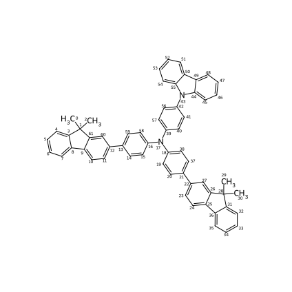 CC1(C)c2ccccc2-c2ccc(-c3ccc(N(c4ccc(-c5ccc6c(c5)C(C)(C)c5ccccc5-6)cc4)c4ccc(-n5c6ccccc6c6ccccc65)cc4)cc3)cc21